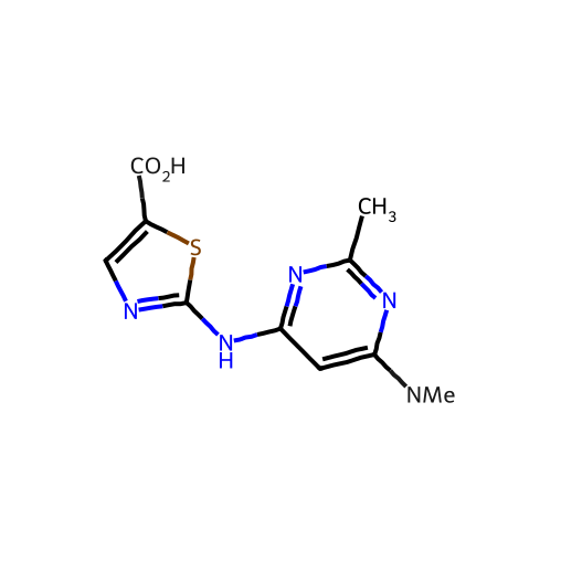 CNc1cc(Nc2ncc(C(=O)O)s2)nc(C)n1